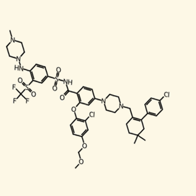 COCOc1ccc(Oc2cc(N3CCN(CC4=C(c5ccc(Cl)cc5)CC(C)(C)CC4)CC3)ccc2C(=O)NS(=O)(=O)c2ccc(NN3CCN(C)CC3)c(S(=O)(=O)C(F)(F)F)c2)c(Cl)c1